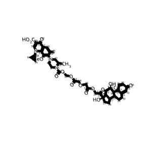 COc1c(N2CCN(C(=O)OCOC(=O)COCC(=O)OCC(=O)[C@@]3(O)CCC4C5CCC6=CC(=O)C=C[C@]6(C)C5[C@@H](O)C[C@@]43C)C(C)C2)c(F)cc2c(=O)c(C(=O)O)cn(C3CC3)c12